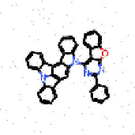 c1ccc(-c2nc(-n3c4ccccc4c4c5c6ccccc6n6c7ccccc7c(cc43)c56)c3c(n2)oc2ccccc23)cc1